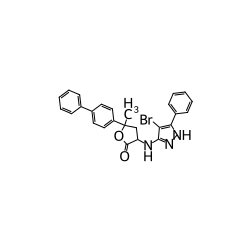 CC1(c2ccc(-c3ccccc3)cc2)CC(Nc2n[nH]c(-c3ccccc3)c2Br)C(=O)O1